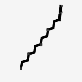 [N-]=[N+]=NCCOCCOCCOCCI